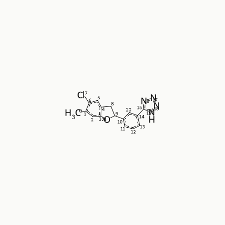 Cc1cc2c(cc1Cl)CC(c1cccc(-c3nnn[nH]3)c1)O2